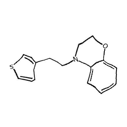 c1ccc2c(c1)OCCN2CCc1ccsc1